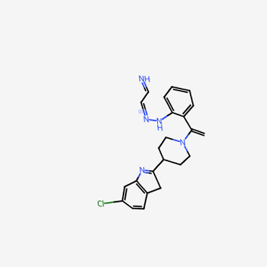 C=C(c1ccccc1N/N=C\C=N)N1CCC(C2=Nc3cc(Cl)ccc3C2)CC1